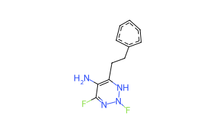 NC1=C(CCc2ccccc2)NN(F)N=C1F